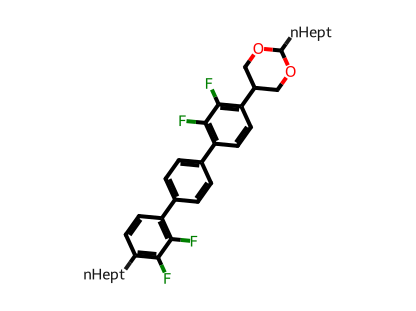 CCCCCCCc1ccc(-c2ccc(-c3ccc(C4COC(CCCCCCC)OC4)c(F)c3F)cc2)c(F)c1F